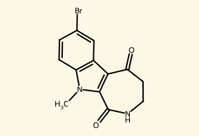 Cn1c2c(c3cc(Br)ccc31)C(=O)CCNC2=O